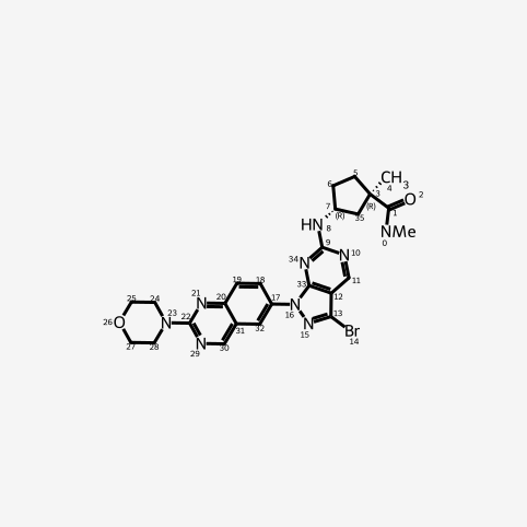 CNC(=O)[C@]1(C)CC[C@@H](Nc2ncc3c(Br)nn(-c4ccc5nc(N6CCOCC6)ncc5c4)c3n2)C1